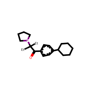 CCC(CC)(C(=O)c1ccc(C2CCCCC2)cc1)P1CCCC1